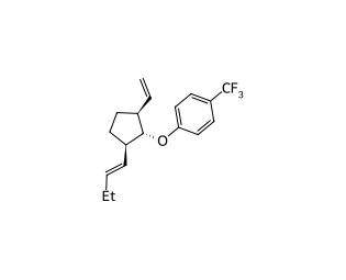 C=C[C@@H]1CC[C@H](/C=C/CC)[C@H]1Oc1ccc(C(F)(F)F)cc1